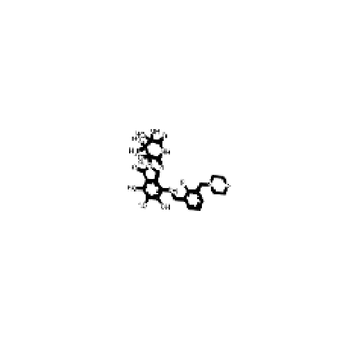 BC1(O)C(O)(O)C(=O)NC(=O)C1(O)N1Cc2c(NCc3cccc(CN4CCOCC4)c3F)c(O)c(O)c(O)c2C1=O